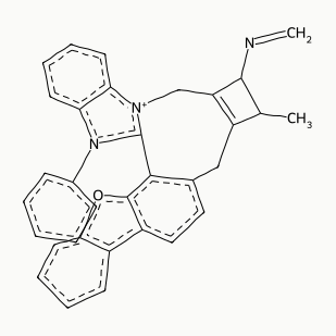 C=NC1C2=C(Cc3ccc4c(oc5ccccc54)c3-c3n(-c4ccccc4)c4ccccc4[n+]3C2)C1C